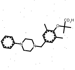 Cc1cc(CN2CCN(c3ccccc3)CC2)cc(C)c1OC(C)(C)C(=O)O